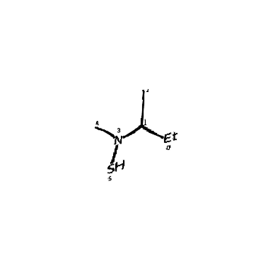 CCC(C)N(C)S